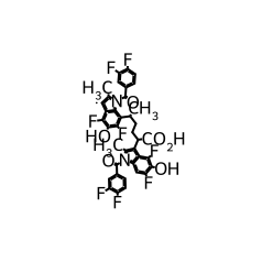 Cc1c(C(CCC(C)c2c(F)c(O)c(F)c3[c]c(C)n(C(=O)c4ccc(F)c(F)c4)c23)C(=O)O)c2c(F)c(O)c(F)cc2n1C(=O)c1ccc(F)c(F)c1